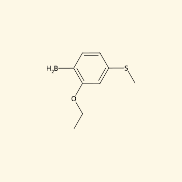 Bc1ccc(SC)cc1OCC